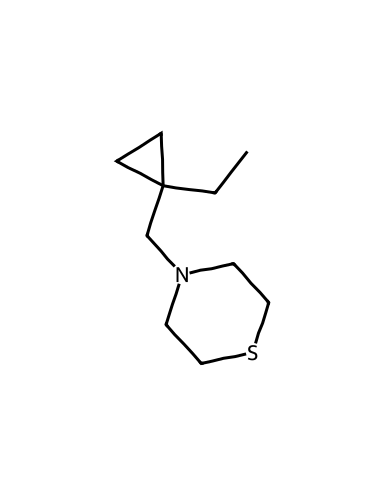 CCC1(CN2CCSCC2)CC1